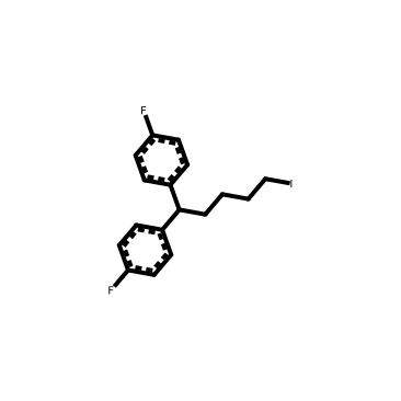 Fc1ccc(C(CCCCI)c2ccc(F)cc2)cc1